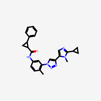 Cc1ccc(NC(=O)C2CC2c2ccccc2)cc1-n1cc(-c2cnc(C3CC3)n2C)nn1